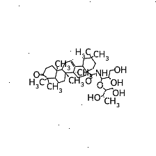 C[C@H](O)C(CO)OC(NC(=O)[C@]12CCC(C)(C)CC1C1=CCC3[C@@]4(C)CCC(=O)C(C)(C)C4CC[C@@]3(C)[C@]1(C)CC2)[C@H](O)CO